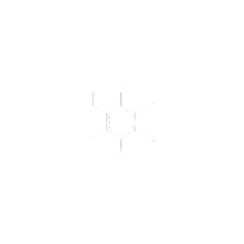 FCc1c(F)c(Cl)c(Cl)c(F)c1Cl